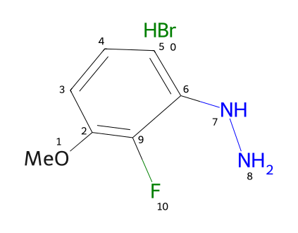 Br.COc1cccc(NN)c1F